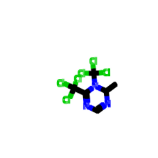 CC1N=CN=C(C(Cl)(Cl)Cl)N1C(Cl)(Cl)Cl